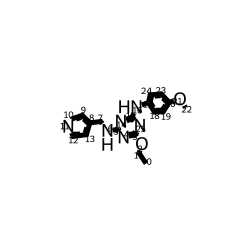 CCOc1nc(NCc2ccncc2)nc(Nc2ccc(OC)cc2)n1